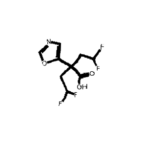 O=C(O)C(CC(F)F)(CC(F)F)c1cnco1